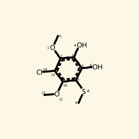 COc1c(O)c(O)c(SC)c(OC)c1Cl